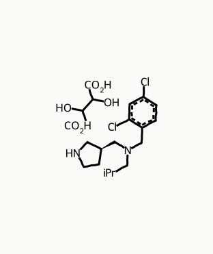 CC(C)CN(Cc1ccc(Cl)cc1Cl)C[C@H]1CCNC1.O=C(O)C(O)C(O)C(=O)O